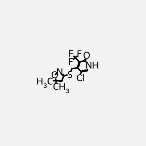 CC1(C)CC(SCc2c(Cl)c[nH]c(=O)c2C(F)(F)F)=NO1